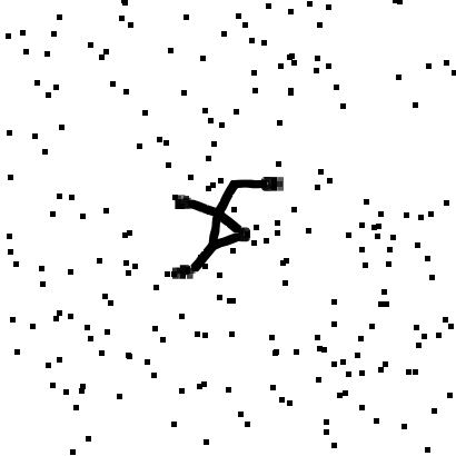 CCCC1OC1(CC)CO